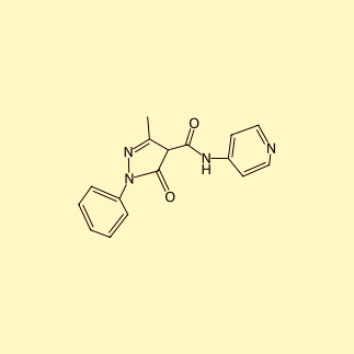 CC1=NN(c2ccccc2)C(=O)C1C(=O)Nc1ccncc1